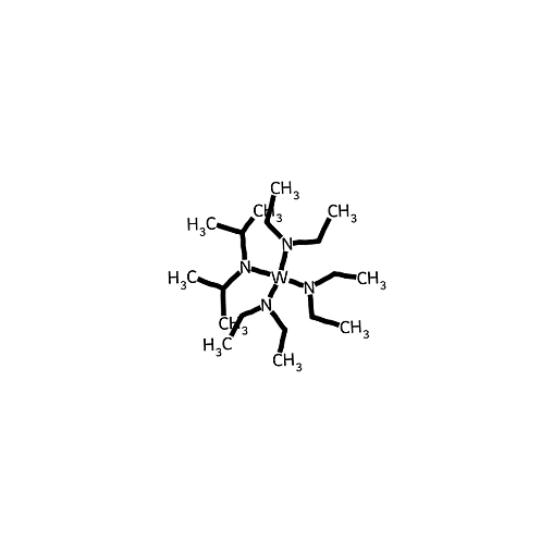 CC[N](CC)[W]([N](CC)CC)([N](CC)CC)[N](C(C)C)C(C)C